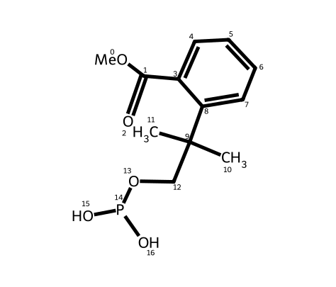 COC(=O)c1ccccc1C(C)(C)COP(O)O